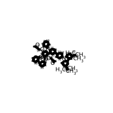 CC(C)(C)c1ccc2c(c1)c1cc(C(C)(C)C)ccc1n2-c1ccc(-c2ccc3c(c2)c2c(OCC4CO4)c(P4(=O)Oc5ccccc5-c5ccccc54)cc(OCC4CO4)c2n3-c2ccccc2)cc1